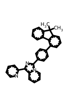 CC1(C)c2ccccc2-c2c(-c3ccc(-c4nc(-c5ccccn5)c5ccccn45)cc3)cccc21